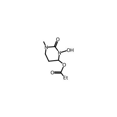 CCC(=O)OC1CCN(C)C(=O)N1O